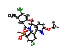 CS(=O)(=O)c1cc(F)ccc1N(Cc1ccc(Br)c([N+](=O)[O-])c1)C(=O)c1ccc(OC2CC2)nc1